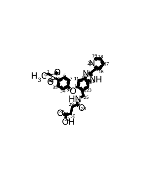 CCS(=O)(=O)c1ccc(Oc2cc3nc(-c4ccccn4)[nH]c3cc2CNC(=O)CCC(=O)O)cc1